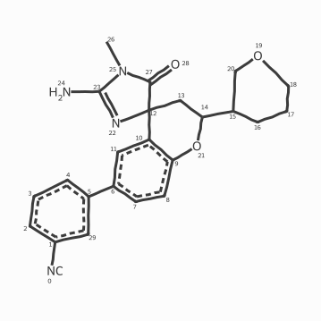 [C-]#[N+]c1cccc(-c2ccc3c(c2)C2(CC(C4CCCOC4)O3)N=C(N)N(C)C2=O)c1